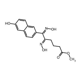 COC(=O)CCCC(=NO)C(=NO)c1ccc2cc(O)ccc2c1